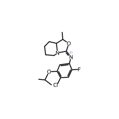 CC(C)Oc1cc(/N=C2/OC(C)C3CCCCN23)c(F)cc1Cl